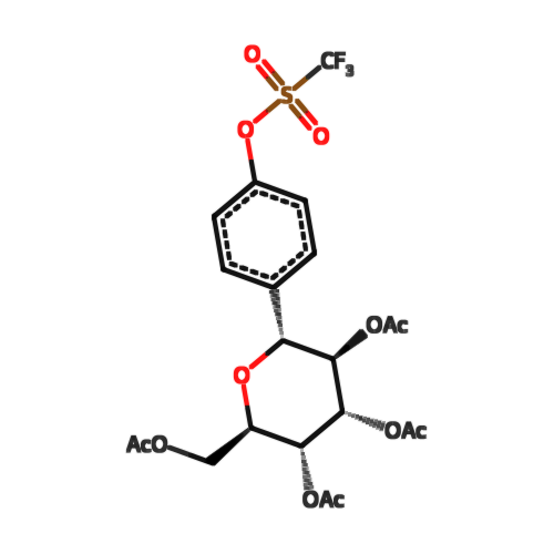 CC(=O)OC[C@H]1O[C@H](c2ccc(OS(=O)(=O)C(F)(F)F)cc2)[C@@H](OC(C)=O)[C@H](OC(C)=O)[C@@H]1OC(C)=O